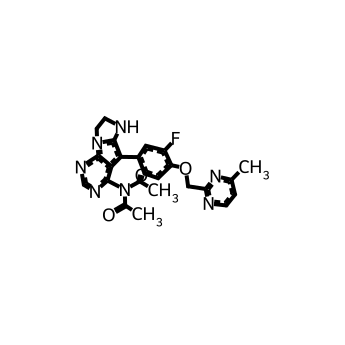 CC(=O)N(C(C)=O)c1ncnc2c1c(-c1ccc(OCc3nccc(C)n3)c(F)c1)c1n2CCN1